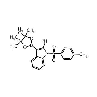 [2H]c1c(B2OC(C)(C)C(C)(C)O2)c2cccnc2n1S(=O)(=O)c1ccc(C)cc1